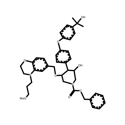 COCCCN1CCOc2ccc(COC3CN(C(=O)OCc4ccccc4)CC(O)C3c3ccc(Oc4ccc(C(C)(C)O)cc4)cc3)cc21